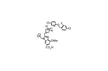 COc1cc(C(=O)O)cc2c1nc(CN1C[C@@H]3[C@H](C1)[C@H]3c1nc(OCc3ccc(Cl)cc3F)ccc1Cl)n2C[C@@H]1CCO1